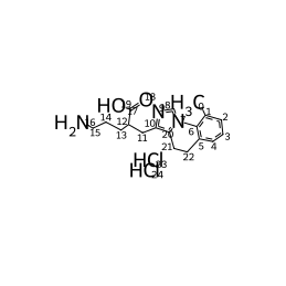 Cc1cccc2c1-n1cnc(CC(CCCN)C(=O)O)c1CC2.Cl.Cl